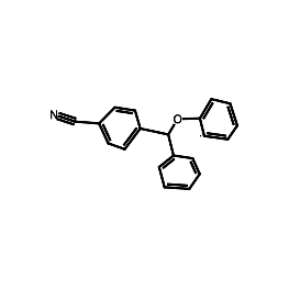 N#Cc1ccc(C(Oc2[c]cccc2)c2ccccc2)cc1